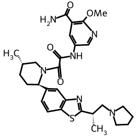 COc1ncc(NC(=O)C(=O)N2C[C@@H](C)CC[C@@H]2c2ccc3sc([C@@H](C)CN4CCCC4)nc3c2)cc1C(N)=O